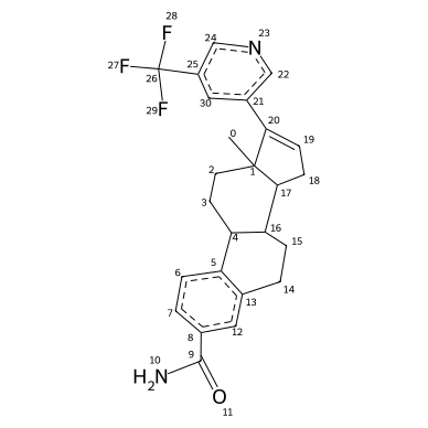 CC12CCC3c4ccc(C(N)=O)cc4CCC3C1CC=C2c1cncc(C(F)(F)F)c1